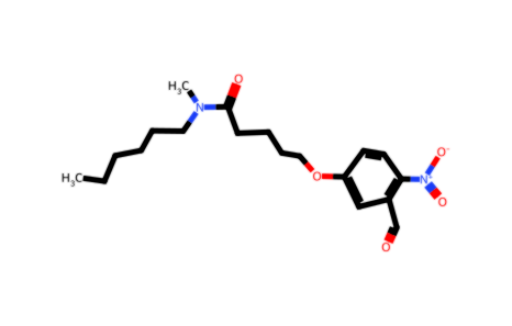 CCCCCCN(C)C(=O)CCCCOc1ccc([N+](=O)[O-])c(C=O)c1